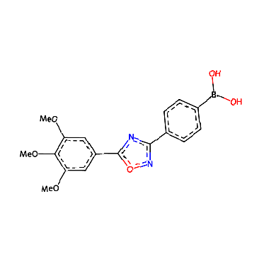 COc1cc(-c2nc(-c3ccc(B(O)O)cc3)no2)cc(OC)c1OC